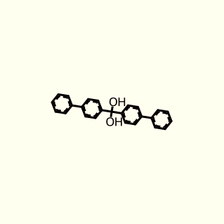 OC(O)(c1ccc(-c2ccccc2)cc1)c1ccc(-c2ccccc2)cc1